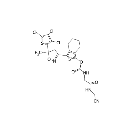 N#CCNC(=O)CNC(=O)Oc1sc(C2=NOC(c3sc(Cl)c(Cl)c3Cl)(C(F)(F)F)C2)c2c1CCCC2